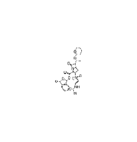 CCC(=O)NC=CS(=O)(=O)C1=C(C(=O)OC2OC(=O)c3ccccc32)N2C(=O)C(C(C)OC3CCCCO3)C2C1